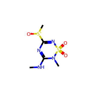 CNC1=NC([S+](C)[O-])=NS(=O)(=O)N1C